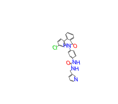 O=C(NCc1cccnc1)Nc1ccc(NC(=O)c2ccccc2-c2ccc(Cl)cc2)cc1